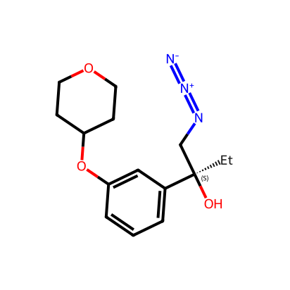 CC[C@@](O)(CN=[N+]=[N-])c1cccc(OC2CCOCC2)c1